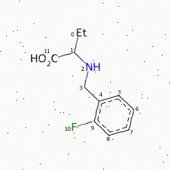 CCC(NCc1ccccc1F)C(=O)O